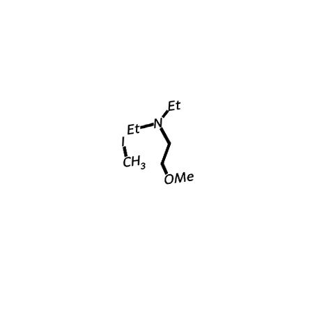 CCN(CC)CCOC.CI